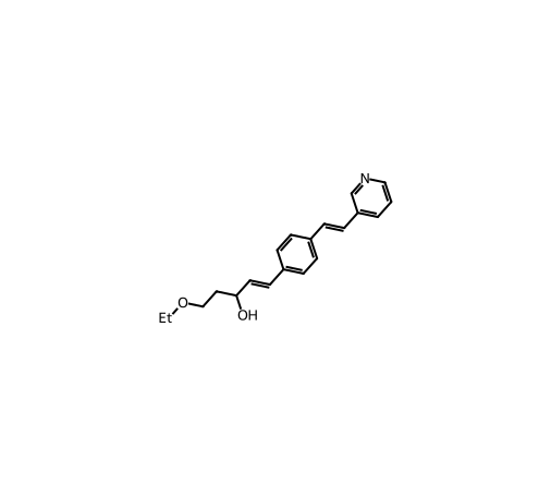 CCOCCC(O)C=Cc1ccc(C=Cc2cccnc2)cc1